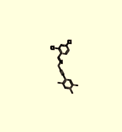 Cc1cc(C)c(C#CCN=Cc2ccc(Cl)cc2Cl)cc1C